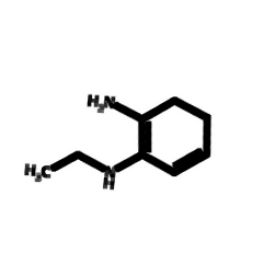 CCNC1=C(N)CCC=C1